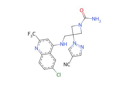 N#Cc1cnn(C2(CNc3cc(C(F)(F)F)nc4ccc(Cl)cc34)CN(C(N)=O)C2)c1